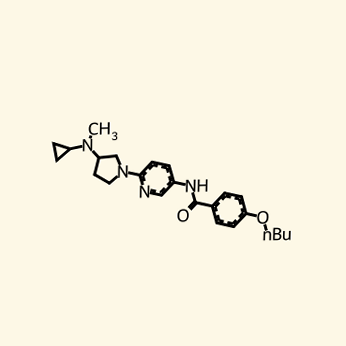 CCCCOc1ccc(C(=O)Nc2ccc(N3CCC(N(C)C4CC4)C3)nc2)cc1